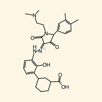 Cc1ccc(C2C(=O)/C(=N/Nc3cccc(C4CCCC(C(=O)O)C4)c3O)C(=O)N2CCN(C)C)cc1C